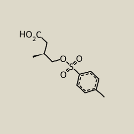 Cc1ccc(S(=O)(=O)OC[C@@H](C)CC(=O)O)cc1